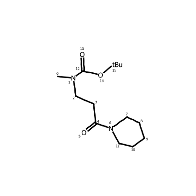 CN(CCC(=O)N1CCCCC1)C(=O)OC(C)(C)C